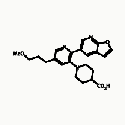 COCCCc1cnc(-c2cnc3occc3c2)c(N2CCC(C(=O)O)CC2)c1